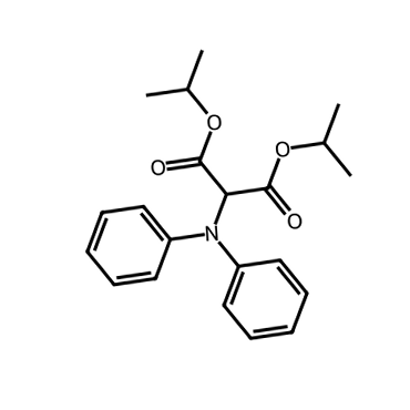 CC(C)OC(=O)C(C(=O)OC(C)C)N(c1ccccc1)c1ccccc1